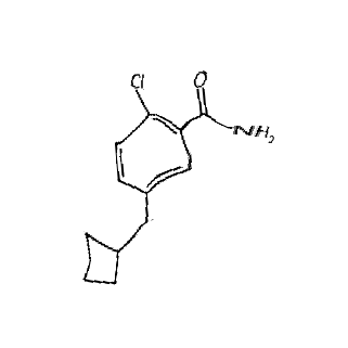 NC(=O)c1cc([CH]C2CCC2)ccc1Cl